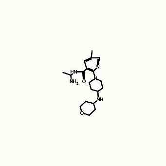 Cc1cnc(N2CCC(NC3CCOCC3)CC2)c(C(=O)NC(C)N)c1